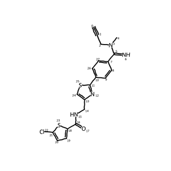 C#CCN(C)C(=N)c1ccc(-c2nc(CNC(=O)c3ccc(Cl)s3)cs2)cc1